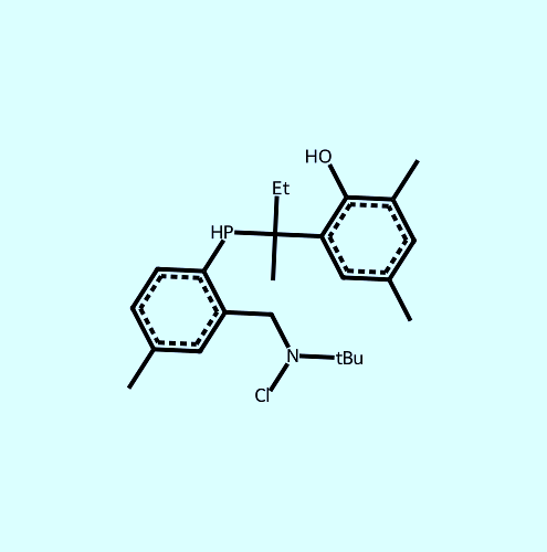 CCC(C)(Pc1ccc(C)cc1CN(Cl)C(C)(C)C)c1cc(C)cc(C)c1O